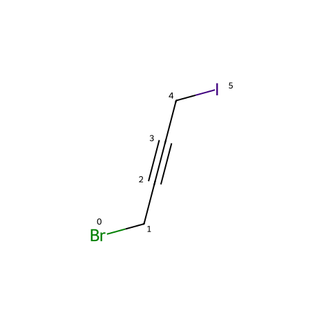 BrCC#CCI